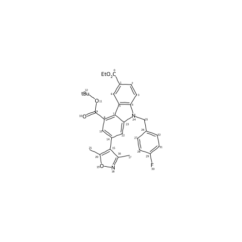 CCOC(=O)c1ccc2c(c1)c1c(C(=O)OC(C)(C)C)cc(-c3c(C)noc3C)cc1n2Cc1ccc(F)cc1